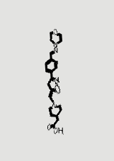 O=C(O)CC1CCN(CC2CC(c3ccc(C=NN4CCOCC4)cc3)=NO2)CC1